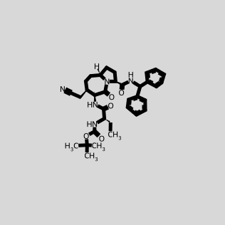 CC[C@H](NC(=O)OC(C)(C)C)C(=O)N[C@@H]1C(=O)N2[C@@H](CC[C@@H]1CC#N)CC[C@H]2C(=O)NC(c1ccccc1)c1ccccc1